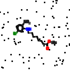 CC(C)(C)OC(=O)CCCCCCCNc1cc(Br)ccc1[N+](=O)[O-]